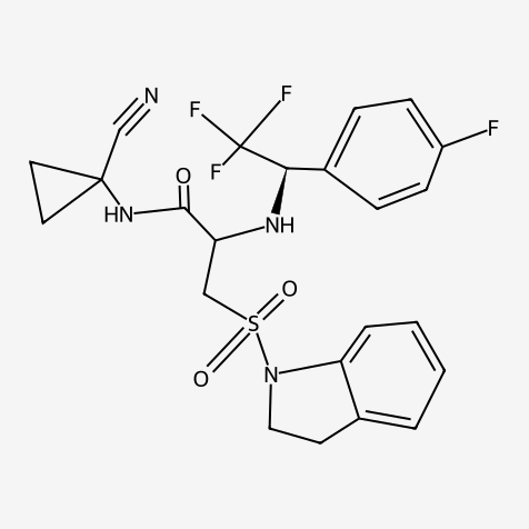 N#CC1(NC(=O)C(CS(=O)(=O)N2CCc3ccccc32)N[C@H](c2ccc(F)cc2)C(F)(F)F)CC1